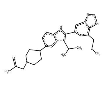 COCc1cc(-c2[nH]c3ccc(C4CCN(CC(C)=O)CC4)cc3c2C(C)C)cn2ncnc12